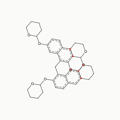 c1cc2ccc(OC3CCCCO3)c(Cc3c(OC4CCCCO4)ccc4ccc(OC5CCCCO5)cc34)c2cc1OC1CCCCO1